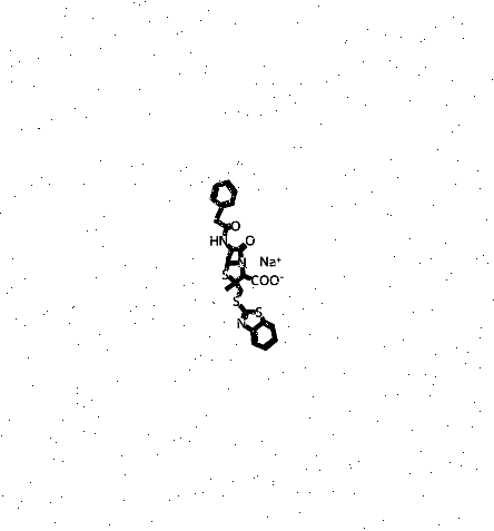 CC1(CSc2nc3ccccc3s2)SC2C(NC(=O)Cc3ccccc3)C(=O)N2C1C(=O)[O-].[Na+]